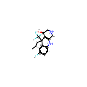 CCCC1(C(F)(F)F)C2=C(CNCC2=O)Nc2ccc(F)cc21